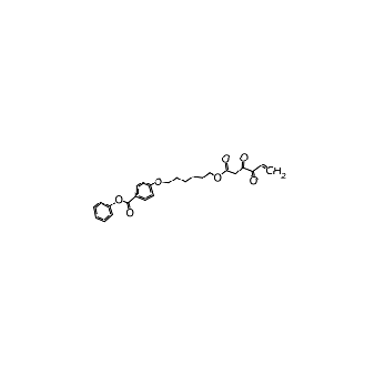 C=CC(=O)C(=O)CC(=O)OCCCCCCOc1ccc(C(=O)Oc2ccccc2)cc1